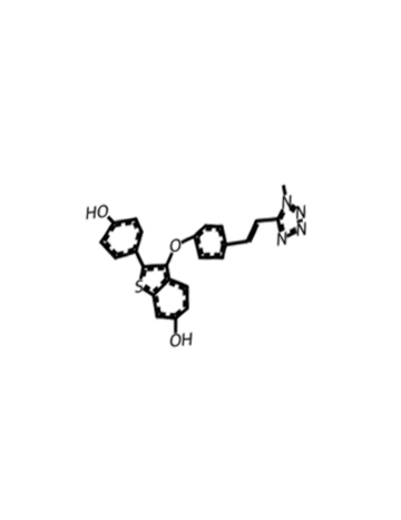 Cn1nnnc1C=Cc1ccc(Oc2c(-c3ccc(O)cc3)sc3cc(O)ccc23)cc1